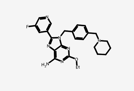 CCOc1nc(N)c2nc(-c3cncc(F)c3)n(Cc3ccc(CN4CCCCC4)cc3)c2n1